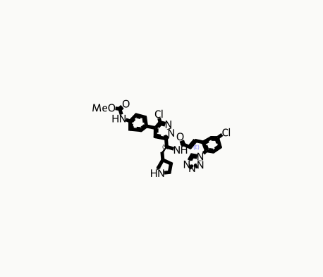 COC(=O)Nc1ccc(-c2cc([C@H](CC3CCNC3)NC(=O)/C=C/c3cc(Cl)ccc3-n3cnnn3)nnc2Cl)cc1